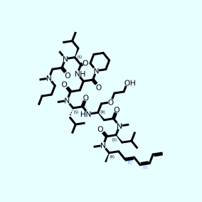 C=C/C=C\C=C\C[C@@H](C)N(C)C(=O)[C@H](CC(C)C)N(C)C(=O)C[C@H](COCCO)NC(=O)[C@H](CC(C)C)N(C)C(=O)CC(NC(=O)[C@H](CC(C)C)N(C)C(=O)CN(C)CCCC)C(=O)N1CCCCC1